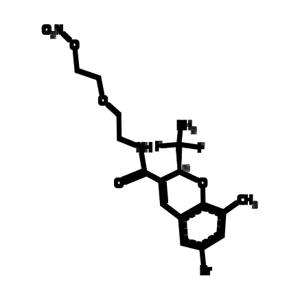 BC(F)(F)[C@H]1Oc2c(C)cc(Br)cc2C=C1C(=O)NCCOCCO[N+](=O)[O-]